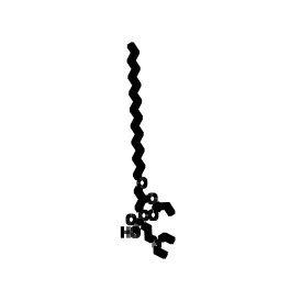 CCCCCCCCCCCCCCCCCOCC(COP(=O)(O)CCN(CC)CC)OC(=O)CC